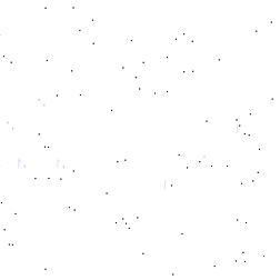 CC(C)(C)CCCc1nn[nH]n1